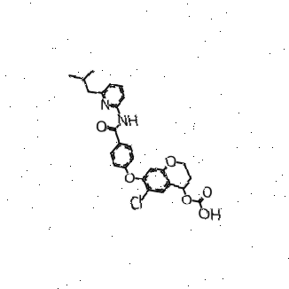 CC(C)Cc1cccc(NC(=O)c2ccc(Oc3cc4c(cc3Cl)C(OC(=O)O)CCO4)cc2)n1